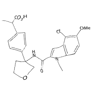 COc1ccc2c(cc(C(=O)NC3(c4ccc(C(C)C(=O)O)cc4)CCOC3)n2C)c1Cl